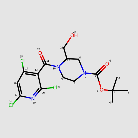 CC(C)(C)OC(=O)N1CCN(C(=O)c2c(Cl)cc(Cl)nc2Cl)C(CO)C1